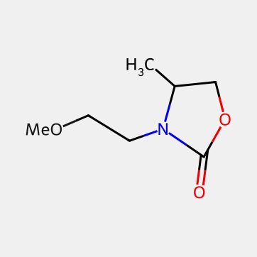 COCCN1C(=O)OCC1C